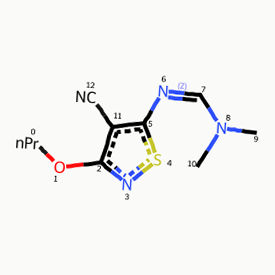 CCCOc1nsc(/N=C\N(C)C)c1C#N